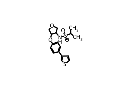 CC(C)S(=O)(=O)NC1COCC1Oc1ccc(-c2ccsc2)cc1